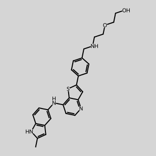 Cc1cc2cc(Nc3ccnc4cc(-c5ccc(CNCCOCCO)cc5)sc34)ccc2[nH]1